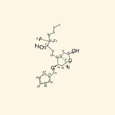 CCCCC(F)(F)C(O)CCC1C2CC(O)O[C@H]2C[C@H]1OCc1ccccc1